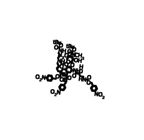 CN(C(=O)OC(C)(C)C)[C@@H]1[C@@H](O)[C@@H](O[C@@H]2[C@@H](O)[C@H](C3OC(CNCCCNC(=O)OC(C)(C)C)=CC[C@H]3NC(O)OCc3ccc([N+](=O)[O-])cc3)[C@@H](NC(=O)OCc3ccc([N+](=O)[O-])cc3)C[C@H]2NC(=O)[C@H](O)CCNC(=O)OCc2ccc([N+](=O)[O-])cc2)OC[C@]1(C)O